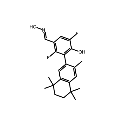 Cc1cc2c(cc1-c1c(O)c(F)cc(C=NO)c1F)C(C)(C)CCC2(C)C